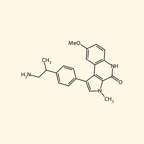 COc1ccc2[nH]c(=O)c3c(c(-c4ccc(C(C)CN)cc4)cn3C)c2c1